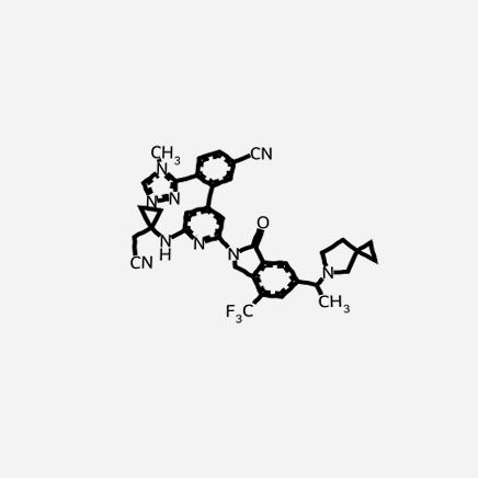 CC(c1cc2c(c(C(F)(F)F)c1)CN(c1cc(-c3cc(C#N)ccc3-c3nncn3C)cc(NC3(CC#N)CC3)n1)C2=O)N1CCC2(CC2)C1